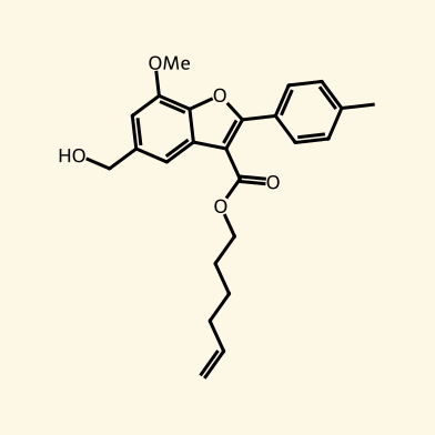 C=CCCCCOC(=O)c1c(-c2ccc(C)cc2)oc2c(OC)cc(CO)cc12